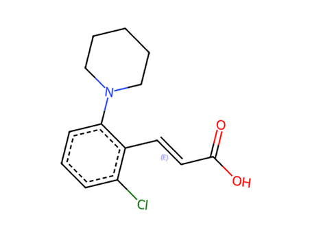 O=C(O)/C=C/c1c(Cl)cccc1N1CCCCC1